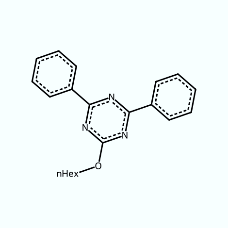 CCCCCCOc1nc(-c2ccccc2)nc(-c2ccccc2)n1